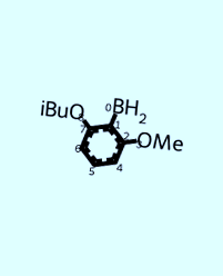 Bc1c(OC)cccc1OCC(C)C